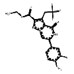 CCOC(=O)c1nn2cc(-c3ccc(C)c(F)c3)[nH]c(=O)c2c1CC(F)(F)F